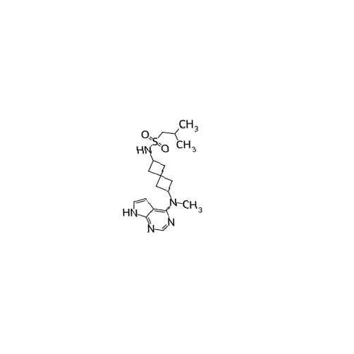 CC(C)CS(=O)(=O)NC1CC2(C1)CC(N(C)c1ncnc3[nH]ccc13)C2